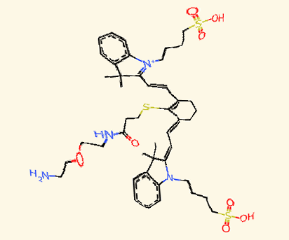 CC1(C)C(/C=C/C2=C(SCCC(=O)NCCOCCN)C(=C/C=C3/N(CCCCS(=O)(=O)O)c4ccccc4C3(C)C)/CCC2)=[N+](CCCCS(=O)(=O)O)c2ccccc21